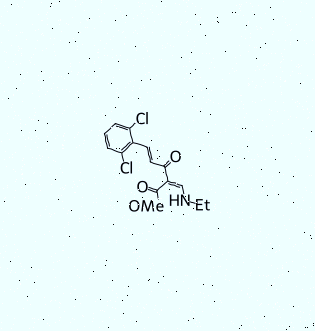 CCN/C=C(/C(=O)/C=C/c1c(Cl)cccc1Cl)C(=O)OC